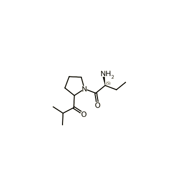 CC[C@H](N)C(=O)N1CCCC1C(=O)C(C)C